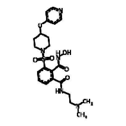 CN(C)CCNC(=O)c1cccc(S(=O)(=O)N2CCC(Oc3ccncc3)CC2)c1C(=O)NO